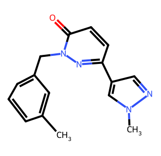 Cc1cccc(Cn2nc(-c3cnn(C)c3)ccc2=O)c1